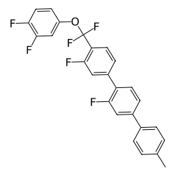 Cc1ccc(-c2ccc(-c3ccc(C(F)(F)Oc4ccc(F)c(F)c4)c(F)c3)c(F)c2)cc1